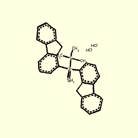 C[Si](C)(C)[Zr](=[SiH2])([c]1cccc2c1Cc1ccccc1-2)[c]1cccc2c1Cc1ccccc1-2.Cl.Cl